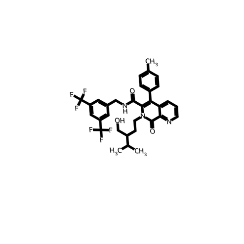 Cc1ccc(-c2c(C(=O)NCc3cc(C(F)(F)F)cc(C(F)(F)F)c3)n(CCC(CO)C(C)C)c(=O)c3ncccc23)cc1